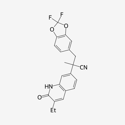 CCc1cc2ccc(C(C)(C#N)Cc3ccc4c(c3)OC(F)(F)O4)cc2[nH]c1=O